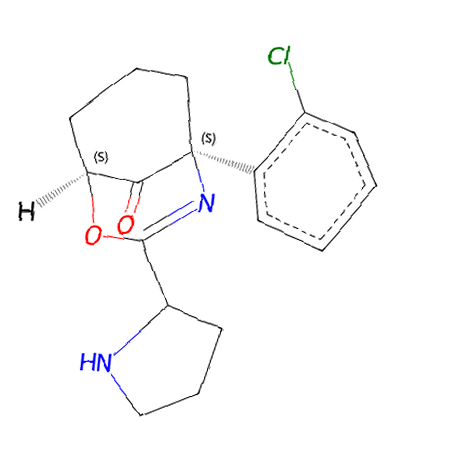 O=C1[C@@H]2CCC[C@@]1(c1ccccc1Cl)N=C(C1CCCN1)O2